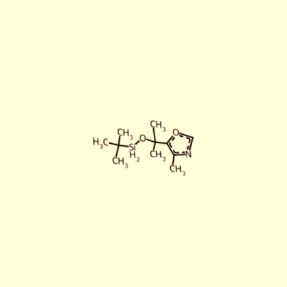 Cc1ncoc1C(C)(C)O[SiH2]C(C)(C)C